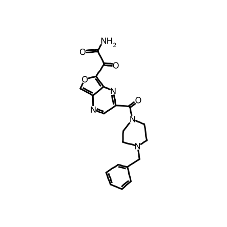 NC(=O)C(=O)c1occ2ncc(C(=O)N3CCN(Cc4ccccc4)CC3)nc12